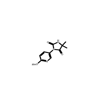 COc1ccc(N2C(=O)NC(C)(C)C2=O)cn1